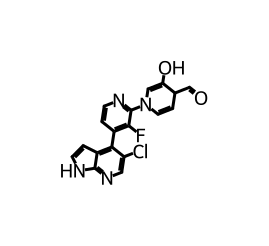 O=CC1C=CN(c2nccc(-c3c(Cl)cnc4[nH]ccc34)c2F)C=C1O